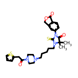 CC1(C)C(=O)N(c2ccc3c(c2)COC3=O)C(=S)N1CCCCCN1CCN(C(=O)Cc2cccs2)CC1